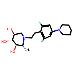 C[C@@H]1[C@@H](O)[C@H](O)[C@@H](O)CN1CCc1c(F)cc(N2CCCCC2)cc1F